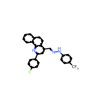 Fc1ccc(-c2cc(C=NNc3ccc(C(F)(F)F)cc3)c3ccc4ccccc4c3n2)cc1